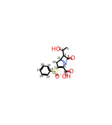 CC(O)C1C(=O)N2C(C(=O)O)=C([S+]([O-])c3ccccc3)CC12